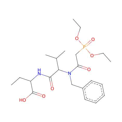 CCOP(=O)(CC(=O)N(Cc1ccccc1)C(C(=O)NC(CC)C(=O)O)C(C)C)OCC